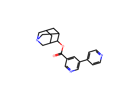 O=C(OC1C2CC3CC1CN(C3)C2)c1cncc(-c2ccncc2)c1